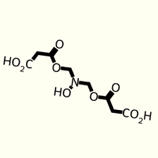 O=C(O)CC(=O)OCN(O)COC(=O)CC(=O)O